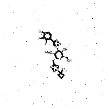 CO[C@@H]1[C@@H](n2cc(-c3ccc(Br)c(F)c3F)nn2)[C@@H](O)[C@@H](CO)O[C@@H]1Cc1cn(C2(C(F)(F)F)CCC2)nn1